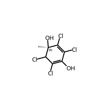 C[C@]1(O)C(Cl)=C(Cl)C(O)=C(Cl)C1Cl